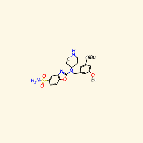 CCOc1cc(CN(c2nc3cc(S(N)(=O)=O)ccc3o2)C2CCNCC2)cc(OCC(C)C)c1